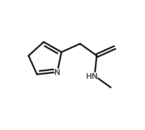 C=C(CC1=CCC=N1)NC